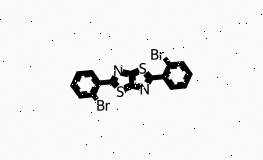 Brc1ccccc1-c1nc2sc(-c3ccccc3Br)nc2s1